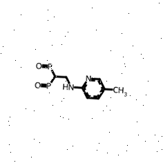 Cc1ccc(NCC(P=O)P=O)nc1